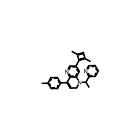 CC1=CC(C)=C1c1cnc2c(c1)N(C(C)c1ccccn1)CC=C2c1ccc(C)cc1